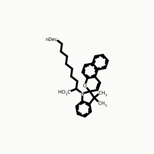 CCCCCCCCCCCCCCCCCC(C(=O)O)N1c2ccccc2C(C)(C)C12C=Cc1c(ccc3ccccc13)O2